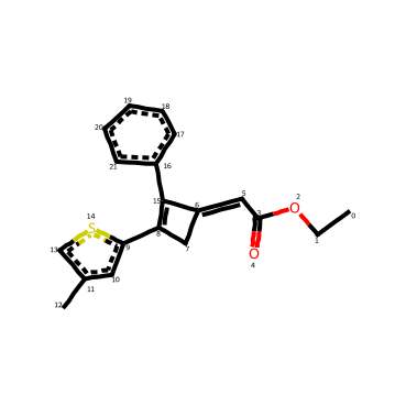 CCOC(=O)C=C1CC(c2cc(C)cs2)=C1c1ccccc1